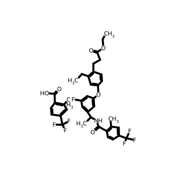 CCOC(=O)CCc1ccc(Oc2cc(F)cc(C(C)NC(=O)c3ccc(C(F)(F)F)cc3C)c2)cc1CC.Cc1cc(C(F)(F)F)ccc1C(=O)O